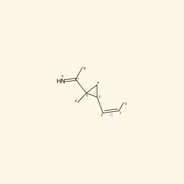 C/C=C\C1CC1(C)C(C)=N